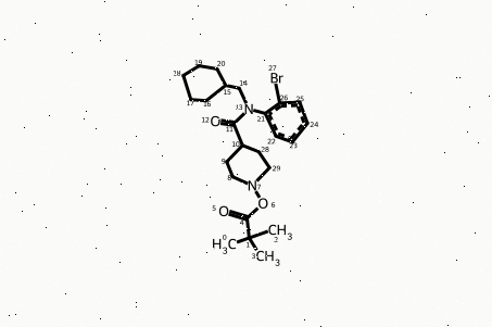 CC(C)(C)C(=O)ON1CCC(C(=O)N(CC2CCCCC2)c2ccccc2Br)CC1